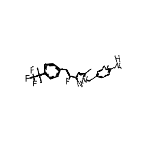 CNc1ccc(Cn2nc(/C(F)=C/c3ccc(C(C)(C)C(F)(F)F)cc3)cc2C)cn1